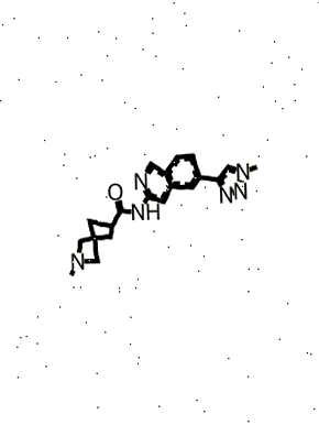 CN1CC2(CC(C(=O)Nc3cc4cc(-c5cn(C)nn5)ccc4cn3)C2)C1